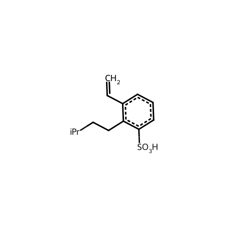 C=Cc1cccc(S(=O)(=O)O)c1CCC(C)C